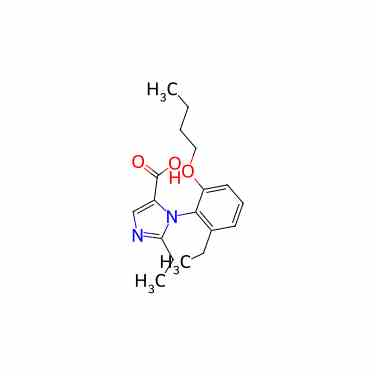 CCCCOc1cccc(CC)c1-n1c(C(=O)O)cnc1CC